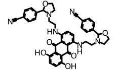 N#Cc1ccc(C2OCCN2CCNc2ccc(NCCN3CCOC3c3ccc(C#N)cc3)c3c2C(=O)c2c(O)ccc(O)c2C3=O)cc1